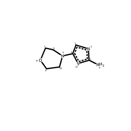 Nc1ncc(N2CCOCC2)s1